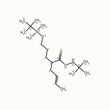 C/C=C/CC(CCCO[Si](C)(C)C(C)(C)C)C(=O)ONC(C)(C)C